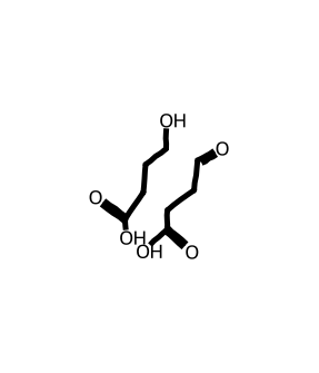 O=C(O)CCCO.O=CCCC(=O)O